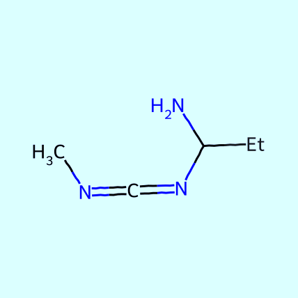 CCC(N)N=C=NC